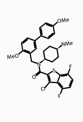 CN[C@H]1CC[C@@H](N(Cc2cc(-c3ccc(OC)cc3)ccc2OC)C(=O)c2sc3c(F)ccc(F)c3c2Cl)CC1